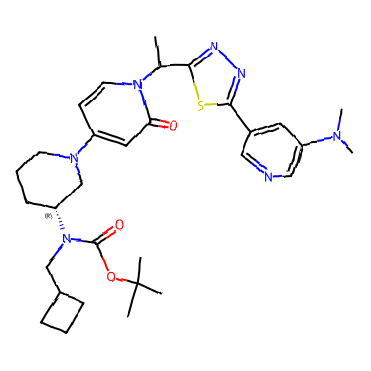 CC(c1nnc(-c2cncc(N(C)C)c2)s1)n1ccc(N2CCC[C@@H](N(CC3CCC3)C(=O)OC(C)(C)C)C2)cc1=O